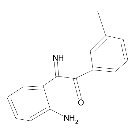 Cc1cccc(C(=O)C(=N)c2ccccc2N)c1